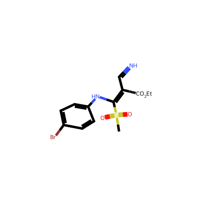 CCOC(=O)/C(C=N)=C(/Nc1ccc(Br)cc1)S(C)(=O)=O